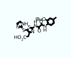 Cc1ccc(NC(=O)C(=O)Nc2nc(CC(=O)O)c(Sc3ncc[nH]3)s2)c(OCC(C)C)c1